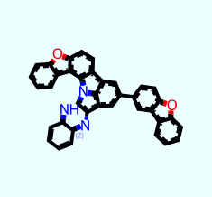 N=C1C=CC=C/C1=N/c1cn2c3c1cc(-c1ccc4oc5ccccc5c4c1)cc3c1ccc3oc4ccccc4c3c12